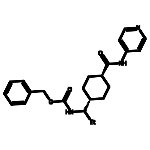 CCC(NC(=O)OCc1ccccc1)[C@H]1CC[C@H](C(=O)Nc2ccncc2)CC1